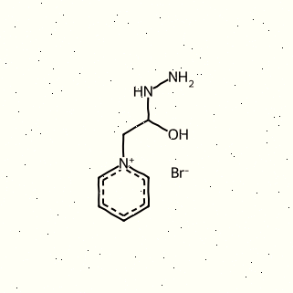 NNC(O)C[n+]1ccccc1.[Br-]